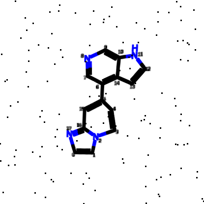 c1cn2ccc(-c3cncc4[nH]ccc34)cc2n1